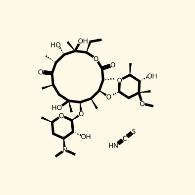 CC[C@H]1OC(=O)[C@H](C)[C@@H](O[C@H]2C[C@@](C)(OC)[C@@H](O)[C@H](C)O2)[C@@H](C)[C@@H](O[C@@H]2O[C@H](C)C[C@H](N(C)C)[C@H]2O)[C@](C)(O)C[C@@H](C)C(=O)[C@H](C)[C@H](O)[C@]1(C)O.N=C=S